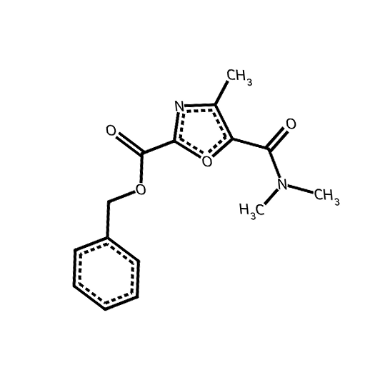 Cc1nc(C(=O)OCc2ccccc2)oc1C(=O)N(C)C